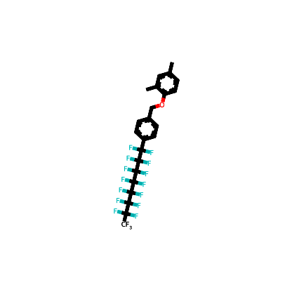 Cc1ccc(OCc2ccc(C(F)(F)C(F)(F)C(F)(F)C(F)(F)C(F)(F)C(F)(F)C(F)(F)C(F)(F)F)cc2)c(C)c1